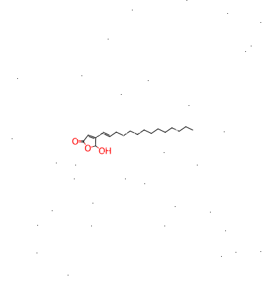 CCCCCCCCCCCCC=CC1=CC(=O)OC1O